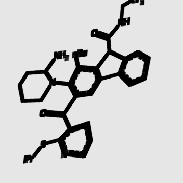 CCCCc1c2c(cc(C(=O)c3cccnc3SC(C)C)c1N1CCCCC1N)-c1ccccc1C2C(=O)NCC(F)(F)F